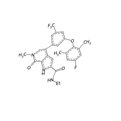 CCNC(=O)c1cc2c(-c3cc(Oc4c(C)cc(F)cc4C)cc(C(F)(F)F)c3)cn(C)c(=O)c2[nH]1